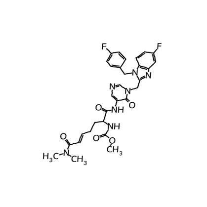 COC(=O)NC(CCC=CC(=O)N(C)C)C(=O)Nc1cncn(Cc2nc3cc(F)ccc3n2Cc2ccc(F)cc2)c1=O